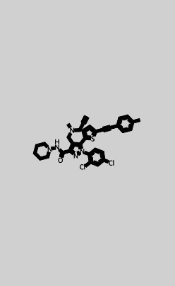 C#CCN(C)Cc1c(C(=O)NN2CCCCC2)nn(-c2ccc(Cl)cc2Cl)c1-c1ccc(C#Cc2ccc(C)cc2)s1